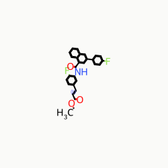 CCOC(=O)/C=C/c1ccc(F)c(NC(=O)c2cc(-c3ccc(F)cc3)cc3ccccc23)c1